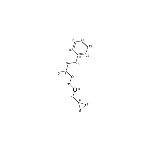 CC(CCOCC1CC1)CCc1ccccc1